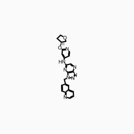 c1cnc2ccc(Cn3nnc4ncc(Nc5ccnc(O[C@H]6CCOC6)c5)nc43)cc2c1